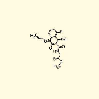 C=CCOn1c(=O)c(C(=O)NCC(=O)OC)c(O)c2c(F)cccc21